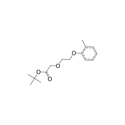 Cc1ccccc1OCCOCC(=O)OC(C)(C)C